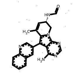 CC1=C[C@H](NC=O)Cn2c1c(-c1cnc3ccccc3c1)c1c(N)ncnc12